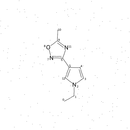 CCn1ccc(-c2noc(C)n2)c1